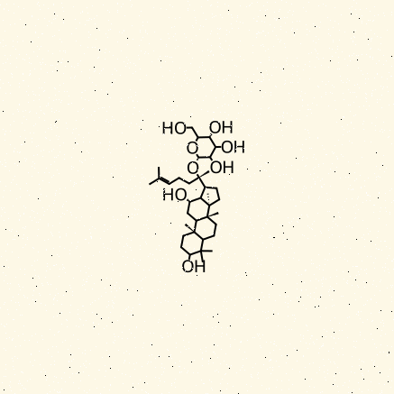 CC(C)=CCC[C@](C)(O[C@@H]1OC(CO)[C@@H](O)C(O)C1O)C1CC[C@]2(C)C1[C@H](O)CC1[C@@]3(C)CCC(O)C(C)(C)C3CC[C@]12C